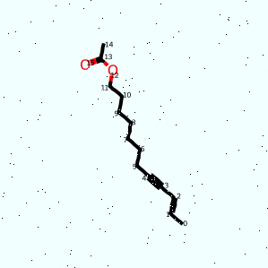 CC=CC#CCCCCCCCOC(C)=O